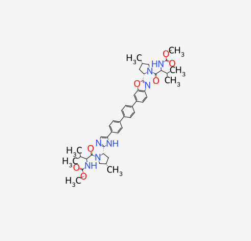 COC(=O)N[C@H](C(=O)N1C[C@@H](C)C[C@H]1c1ncc(-c2ccc(-c3ccc(-c4ccc5nc([C@@H]6C[C@H](C)CN6C(=O)[C@@H](NC(=O)OC)C(C)C)oc5c4)cc3)cc2)[nH]1)C(C)C